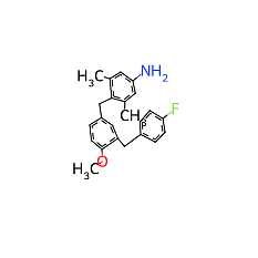 COc1ccc(Cc2c(C)cc(N)cc2C)cc1Cc1ccc(F)cc1